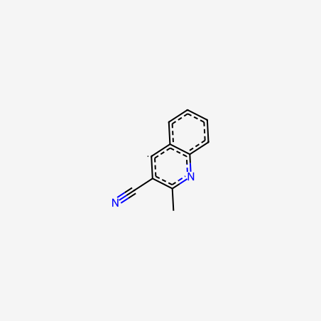 Cc1nc2ccccc2[c]c1C#N